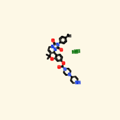 CC(=O)c1ccc(-n2c(=O)n3n(c2=O)C2C(=CC3)C(C)(C)Oc3cc(OC(=O)N4CCN(C5CCNCC5)CC4)ccc32)cc1.Cl.Cl